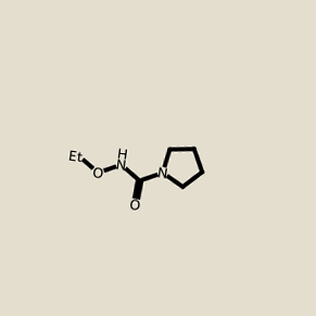 CCONC(=O)N1CCCC1